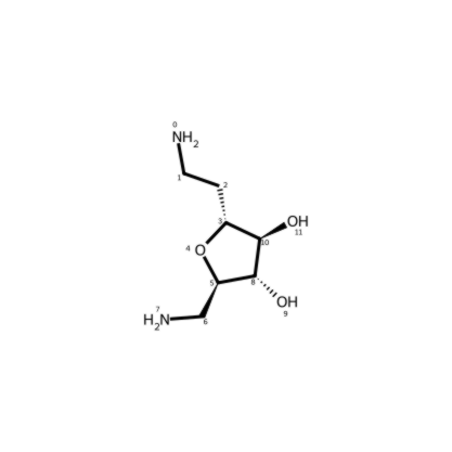 NCC[C@H]1O[C@H](CN)[C@@H](O)[C@@H]1O